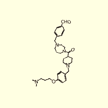 CN(C)CCCOc1ccc(CN2CCC(C(=O)N3CCCN(Cc4ccc(C=O)cc4)CC3)CC2)cc1